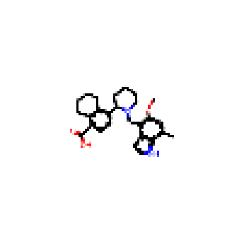 COc1cc(C)c2[nH]ccc2c1CN1CCCCC1c1ccc(C(=O)O)c2c1CCCC2